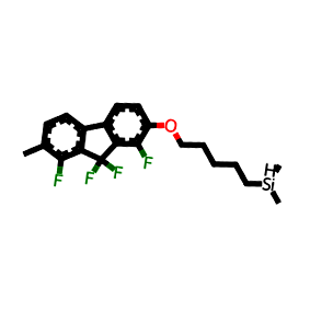 Cc1ccc2c(c1F)C(F)(F)c1c-2ccc(OCCCCC[SiH](C)C)c1F